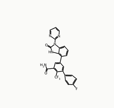 NC(=O)c1cc(-c2cccc3c2[nH]c(=O)n3-c2ncccn2)cc(-c2ccc(F)cc2)c1C(F)(F)F